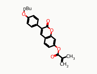 C=C(C)C(=O)Oc1ccc2cc(-c3ccc(OCCCC)cc3)c(=O)oc2c1